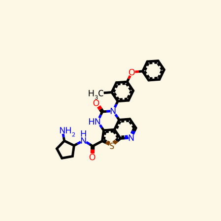 Cc1cc(Oc2ccccc2)ccc1N1C(=O)Nc2c(C(=O)NC3CCCC3N)sc3nccc1c23